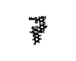 COC(=O)C1=CNCC(Oc2ccc(NC3NC(=O)N(C)C(=O)N3Cc3ccc(C)cc3)cc2C)=C1